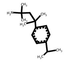 CC(C)c1ccc(C(C)(C)CC(C)(C)N)cc1